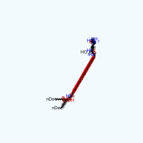 CCCCCCCCCCCCCCCCCC(=O)OC[C@H](COP(=O)(O)OCCNC(=O)OCCOOOOOOOOOOOOOOOOOOOOOOOOOOOOOOOOOOOOOOOOOOOO/C=C\NC(=O)CCC(NC(=O)c1ccc(CCc2cnc3nc(N)[nH]c(=O)c3n2)cc1)C(=O)O)OC(=O)CCCCCCCCCCCCCCCCC